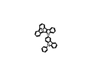 c1ccc(-n2c3ccccc3c3cc(-n4c5ccccc5c5c4c4c6ccccc6c6cccc5n64)ccc32)cc1